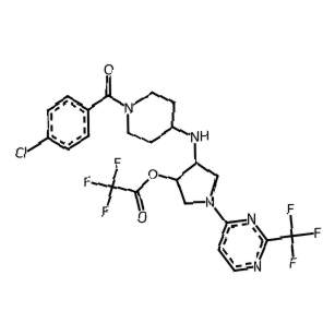 O=C(c1ccc(Cl)cc1)N1CCC(NC2CN(c3ccnc(C(F)(F)F)n3)CC2OC(=O)C(F)(F)F)CC1